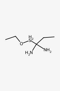 CCO[SiH2]C(N)(N)CC